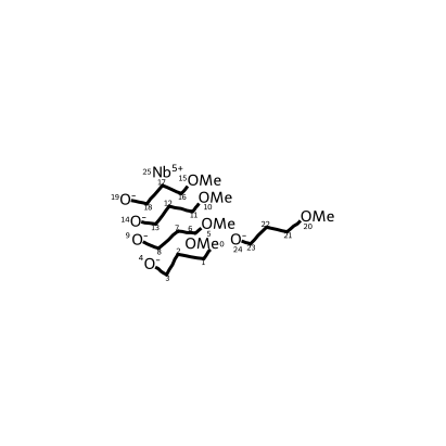 COCCC[O-].COCCC[O-].COCCC[O-].COCCC[O-].COCCC[O-].[Nb+5]